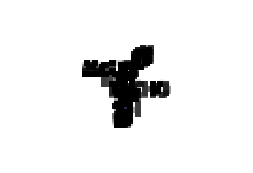 COc1cc(N2CCN(C)CC2)ccc1Nc1ncc(/N=C(\C)c2ccccc2)c(NC=O)n1